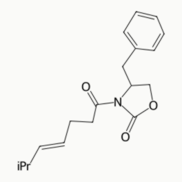 CC(C)/C=C/CCC(=O)N1C(=O)OCC1Cc1ccccc1